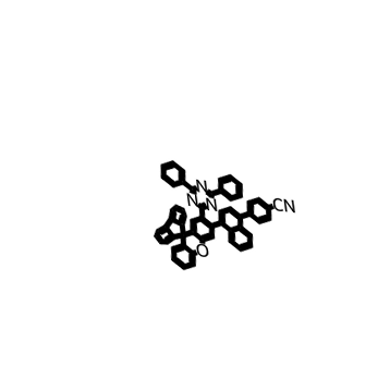 N#Cc1ccc(-c2ccc(-c3cc4c(cc3-c3nc(-c5ccccc5)nc(-c5ccccc5)n3)C3(c5ccccc5O4)c4ccccc4-c4ccccc43)c3ccccc23)cc1